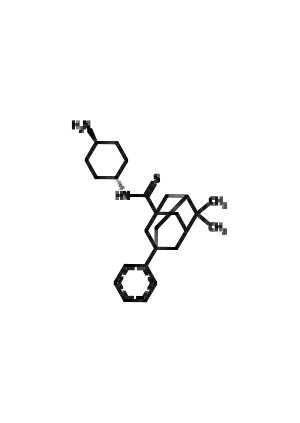 CC1(C)C2CC3(C(=S)N[C@H]4CC[C@H](N)CC4)CC1CC(c1ccccc1)(C2)C3